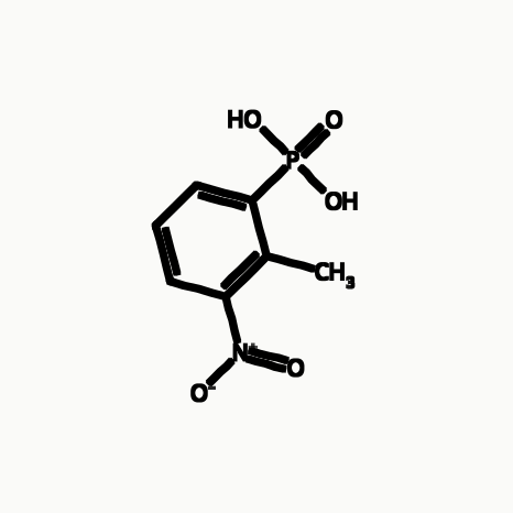 Cc1c([N+](=O)[O-])cccc1P(=O)(O)O